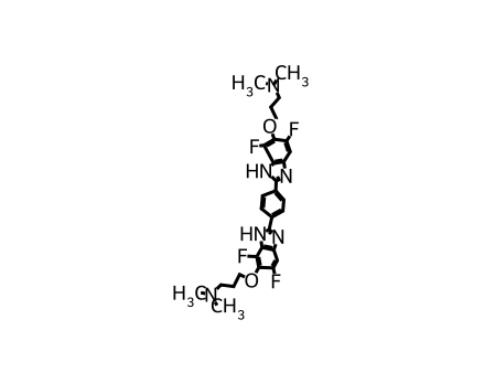 CN(C)CCCOc1c(F)cc2nc(-c3ccc(-c4nc5cc(F)c(OCCCN(C)C)c(F)c5[nH]4)cc3)[nH]c2c1F